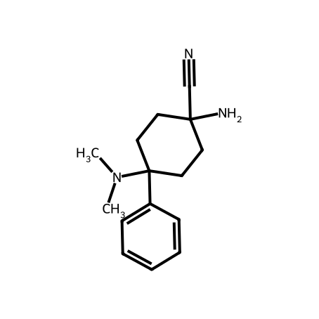 CN(C)C1(c2ccccc2)CCC(N)(C#N)CC1